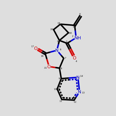 C=C1NC(=O)C2(N3CC(c4cccnn4)OC3=O)CC1C2